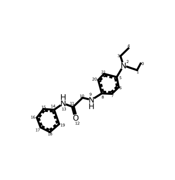 CCN(CC)c1ccc(NCC(=O)Nc2ccccc2)cc1